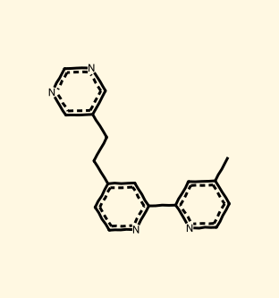 Cc1ccnc(-c2cc(CCc3cncnc3)ccn2)c1